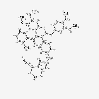 COc1ccc(CN(Cc2ccc(OC)c(OC)c2)c2nc(-c3cnccc3C)cc3cc(Nc4cc5n(n4)C(C#N)COC5)ncc23)cc1OC